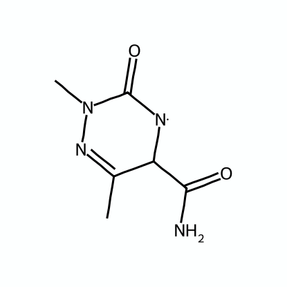 CC1=NN(C)C(=O)[N]C1C(N)=O